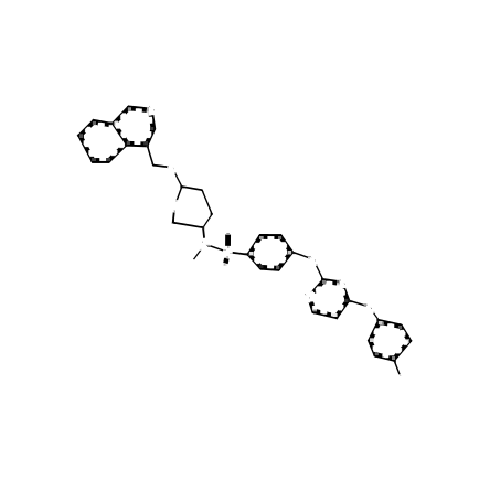 CN(C1CCC(NCc2cncc3ccccc23)CC1)S(=O)(=O)c1ccc(Nc2nccc(Nc3ccc(F)cc3)n2)cc1